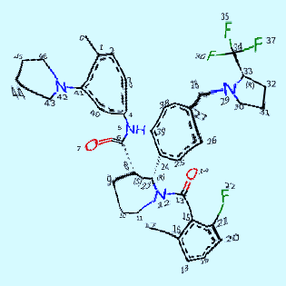 Cc1ccc(NC(=O)[C@H]2CCCN(C(=O)c3c(C)cccc3F)[C@H]2c2ccc(CN3CCC[C@@H]3C(F)(F)F)cc2)cc1N1CCCC1